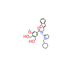 COc1cc(C(=O)N(Cc2cc3ccccc3o2)C[C@@H]2CCCN2CC2CCCCC2)cc(CO)c1CO